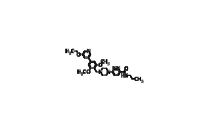 CCCNC(=O)c1ccc(N2CCN(Cc3c(OC)cc(-c4cncc(OCC)c4)cc3OC)CC2)nn1